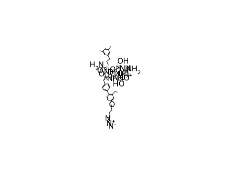 CCc1cc(OCCCCN=[N+]=[N-])ccc1-c1ccc(C[C@H](NC(=O)[C@H](CC(=O)O)NC(=O)[C@H](CO)NC(=O)[C@@H](N)[C@@H](C)O)C(=O)N[C@@H](CCCc2cc(C)cc(C)c2)C(N)=O)cc1